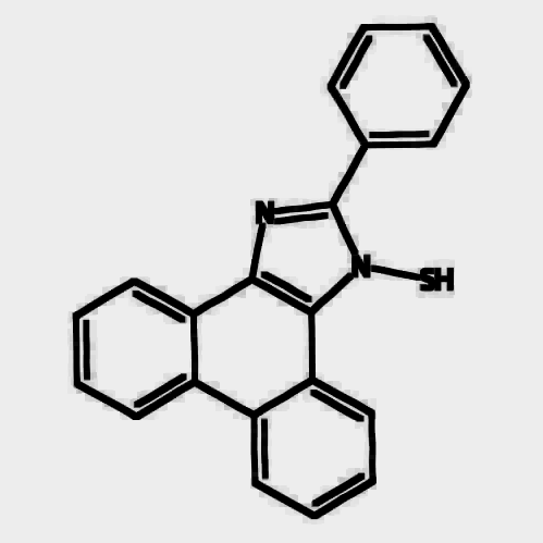 Sn1c(-c2ccccc2)nc2c3ccccc3c3ccccc3c21